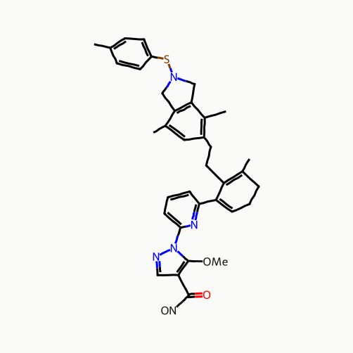 COc1c(C(=O)N=O)cnn1-c1cccc(C2=CCCC(C)=C2CCc2cc(C)c3c(c2C)CN(Sc2ccc(C)cc2)C3)n1